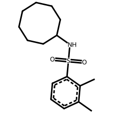 Cc1cccc(S(=O)(=O)NC2CCCCCCC2)c1C